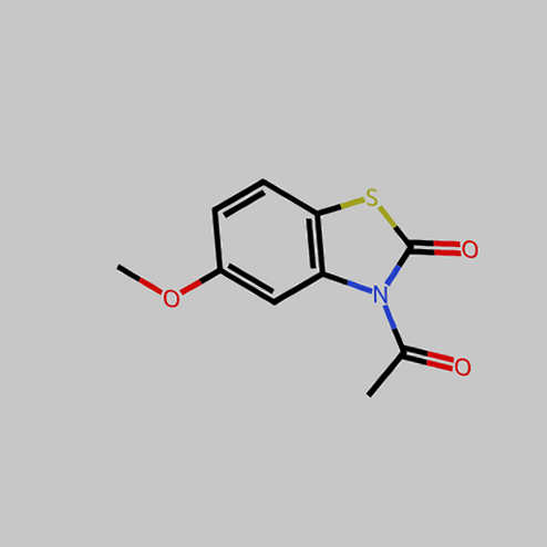 COc1ccc2sc(=O)n(C(C)=O)c2c1